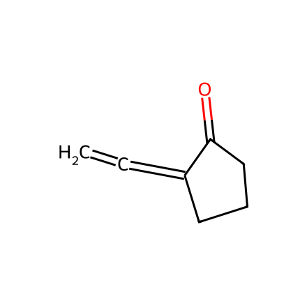 C=C=C1CCCC1=O